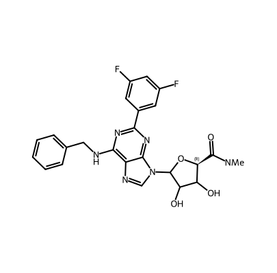 CNC(=O)[C@@H]1OC(n2cnc3c(NCc4ccccc4)nc(-c4cc(F)cc(F)c4)nc32)C(O)C1O